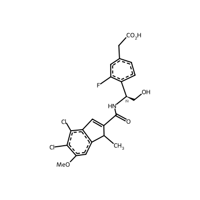 COc1cc2c(c(Cl)c1Cl)C=C(C(=O)N[C@H](CO)c1ccc(CC(=O)O)cc1F)C2C